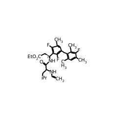 C=CNC(CC(C)C)C(=O)N[C@@H](CC(=O)OCC)c1c(F)c(C)cc(-c2c(C)cc(C)c(F)c2C)c1F